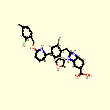 Cc1ccc(COc2cccc(-c3ccc(Cc4nc5ccc(C(=O)O)cc5n4[C@@H]4CCOC4)c(F)c3)n2)c(F)c1